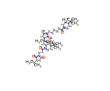 CC(C)C1CC(=O)N(CCC(=O)N2CCC(C(C)(C)C)CC2CC(C)(C)C2CC(=O)N(CCCCCC(=O)N3CCC(C(C)(C)C)CC3)C2=O)C1=O